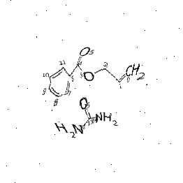 C=CCOC(=O)c1ccccc1.NC(N)=O